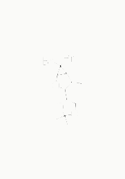 C[C@@H]1C2C(O[C@@H]1[C@H]1COC(C)(C)O1)C2(Br)Br